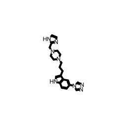 c1c[nH]c(CN2CCN(CCCc3c[nH]c4ccc(-n5cnnc5)cc34)CC2)n1